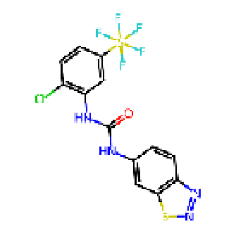 O=C(Nc1ccc2nnsc2c1)Nc1cc(S(F)(F)(F)(F)F)ccc1Cl